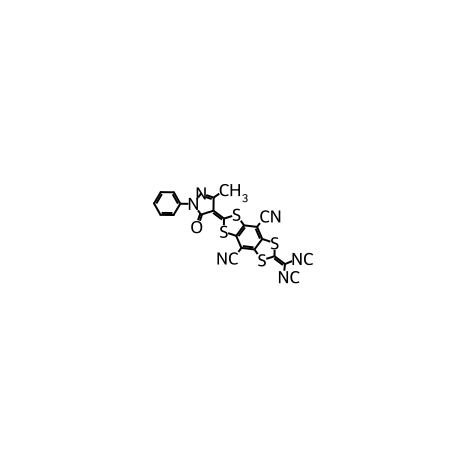 [C-]#[N+]C([N+]#[C-])=C1Sc2c(C#N)c3c(c(C#N)c2S1)SC(=C1C(=O)N(c2ccccc2)N=C1C)S3